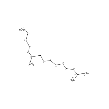 CCCCCCCCCCCCCCC(C)CCCCCCCC(C)CCCCCCCCCC